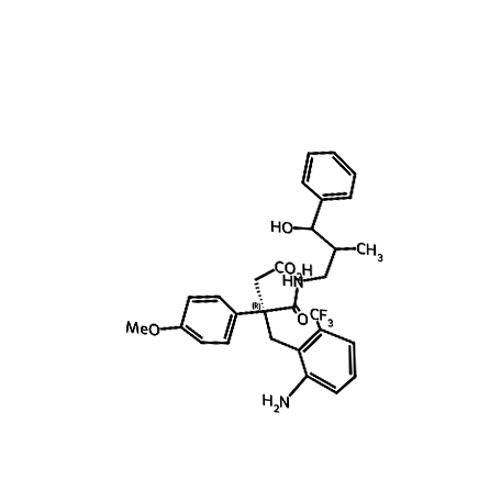 COc1ccc([C@](CC(=O)O)(Cc2c(N)cccc2C(F)(F)F)C(=O)NCC(C)C(O)c2ccccc2)cc1